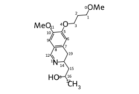 COCCCOc1cc2c(cc1OC)C=NC(CC(C)O)C2